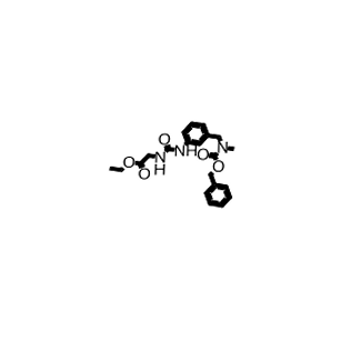 CCOC(=O)CNC(=O)Nc1cccc(CN(C)C(=O)OCc2ccccc2)c1